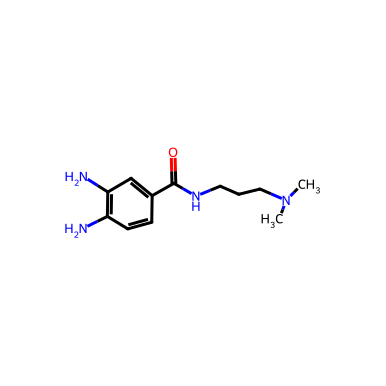 CN(C)CCCNC(=O)c1ccc(N)c(N)c1